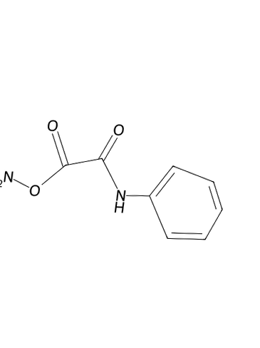 NOC(=O)C(=O)Nc1ccccc1